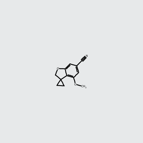 COc1cc(C#N)cc2c1C1(CC1)CO2